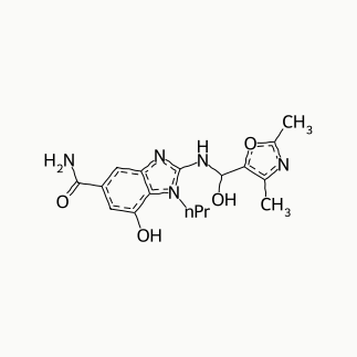 CCCn1c(NC(O)c2oc(C)nc2C)nc2cc(C(N)=O)cc(O)c21